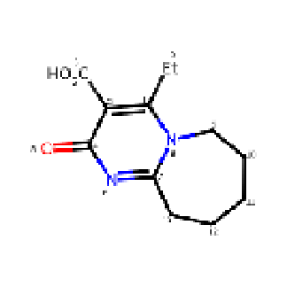 CCc1c(C(=O)O)c(=O)nc2n1CCCCC2